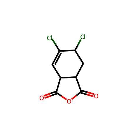 O=C1OC(=O)C2CC(Cl)C(Cl)=CC12